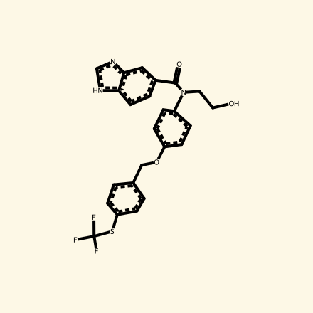 O=C(c1ccc2[nH]cnc2c1)N(CCO)c1ccc(OCc2ccc(SC(F)(F)F)cc2)cc1